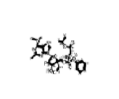 Cc1nc(N(C)C)c2ncn([C@@H]3O[C@](CCl)(CO[P@@](=O)(N[C@@H](C)C(=O)OC(C)C)Oc4ccccc4)[C@@H](O)[C@H]3F)c2n1